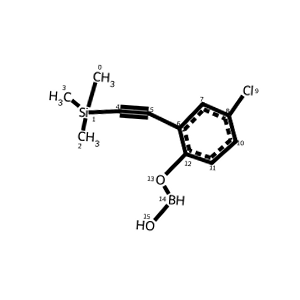 C[Si](C)(C)C#Cc1cc(Cl)ccc1OBO